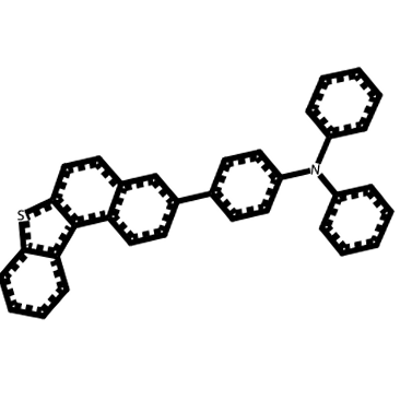 c1ccc(N(c2ccccc2)c2ccc(-c3ccc4c(ccc5sc6ccccc6c54)c3)cc2)cc1